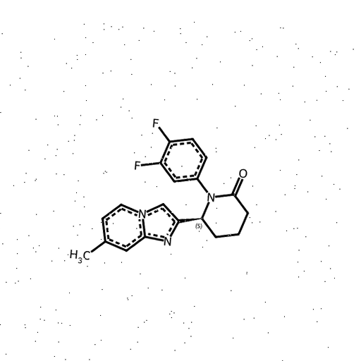 Cc1ccn2cc([C@@H]3CCCC(=O)N3c3ccc(F)c(F)c3)nc2c1